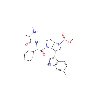 CNC(C)C(=O)NC(C(=O)N1CCC2C1C(c1c[nH]c3cc(F)ccc13)CN2C(=O)OC)C1CCCCC1